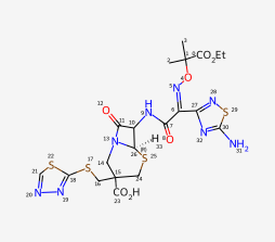 CCOC(=O)C(C)(C)ON=C(C(=O)NC1C(=O)N2CC(CSc3nncs3)(C(=O)O)CS[C@H]12)c1nsc(N)n1